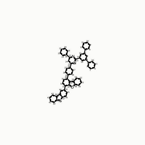 c1ccc(-c2cc(-c3ccccc3)cc(-c3nc(-c4ccccc4)cc(-c4ccc(-c5ccc(-c6ccc7sc8ccccc8c7c6)c6oc7ccccc7c56)cc4)n3)c2)cc1